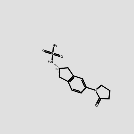 CC(C)S(=O)(=O)N[C@H]1Cc2ccc(N3CCCC3=O)cc2C1